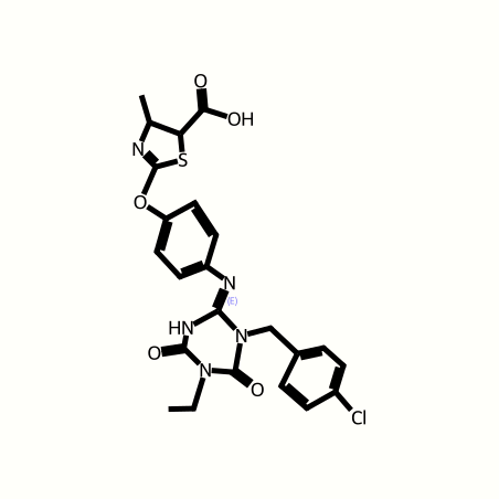 CCn1c(=O)[nH]/c(=N\c2ccc(OC3=NC(C)C(C(=O)O)S3)cc2)n(Cc2ccc(Cl)cc2)c1=O